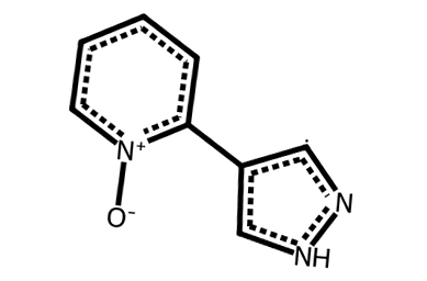 [O-][n+]1ccccc1-c1[c]n[nH]c1